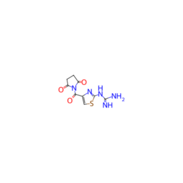 N=C(N)Nc1nc(C(=O)N2C(=O)CCC2=O)cs1